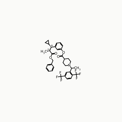 CC(c1cc(C(F)(F)F)ccc1C(F)(F)F)N1CCC(C(=O)Oc2cccc([C@H](C3CC3)[C@H](C)C(=O)OCc3ccccc3)c2)CC1